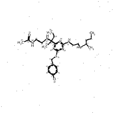 CCCC(C)NCCNc1nc(SCc2ccc(Cl)cc2)nc(C(C)(CC)NCCNC(C)=O)n1